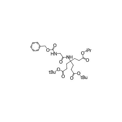 CC(C)OC(=O)CCC(CCC(=O)OC(C)(C)C)(CCC(=O)OC(C)(C)C)NC(=O)CNC(=O)OCc1ccccc1